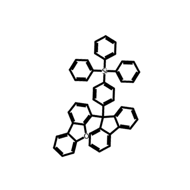 c1ccc([Si](c2ccccc2)(c2ccccc2)c2ccc(C3(c4cccc5c4oc4ccccc45)c4ccccc4-c4ccccc43)cc2)cc1